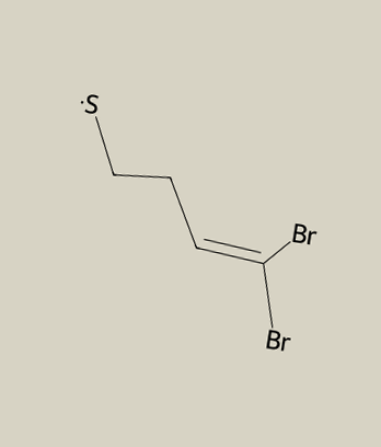 [S]CCC=C(Br)Br